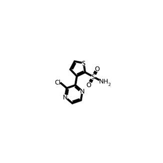 NS(=O)(=O)c1sccc1-c1nccnc1Cl